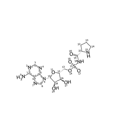 Nc1ncnc2c1ncn2[C@@H]1O[C@H](COS(=O)(=O)NC(=O)[C@@H]2CCCN2)[C@@H](O)[C@H]1O